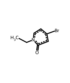 CCn1ccc(Br)cc1=O